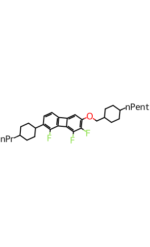 CCCCCC1CCC(COc2cc3c(c(F)c2F)-c2c-3ccc(C3CCC(CCC)CC3)c2F)CC1